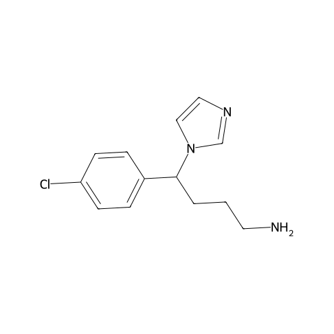 NCCCC(c1ccc(Cl)cc1)n1ccnc1